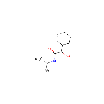 CCCC(NC(=O)C(O)C1CCCCC1)C(=O)O